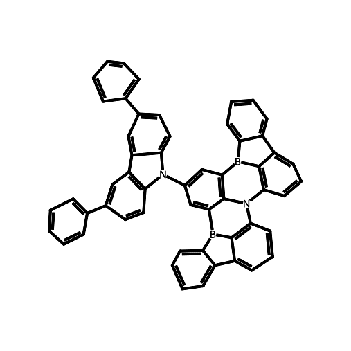 c1ccc(-c2ccc3c(c2)c2cc(-c4ccccc4)ccc2n3-c2cc3c4c(c2)B2c5ccccc5-c5cccc(c52)N4c2cccc4c2B3c2ccccc2-4)cc1